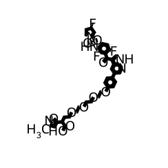 Cc1cc(C(CCOCCOCCOCCOc2ccc(-c3cnc4[nH]cc(C(=O)c5c(F)ccc(NS(=O)(=O)N6CC[C@@H](F)C6)c5F)c4c3)cc2)C(=O)O)on1